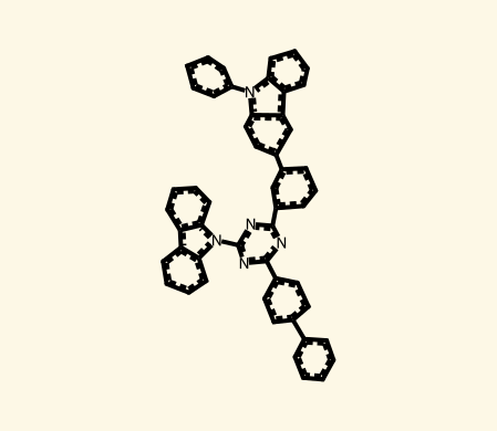 c1ccc(-c2ccc(-c3nc(-c4cccc(-c5ccc6c(c5)c5ccccc5n6-c5ccccc5)c4)nc(-n4c5ccccc5c5ccccc54)n3)cc2)cc1